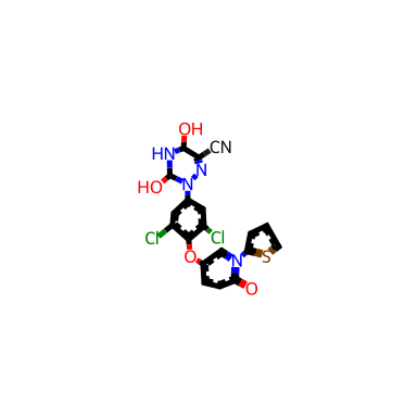 N#CC1=NN(c2cc(Cl)c(Oc3ccc(=O)n(-c4cccs4)c3)c(Cl)c2)C(O)NC1O